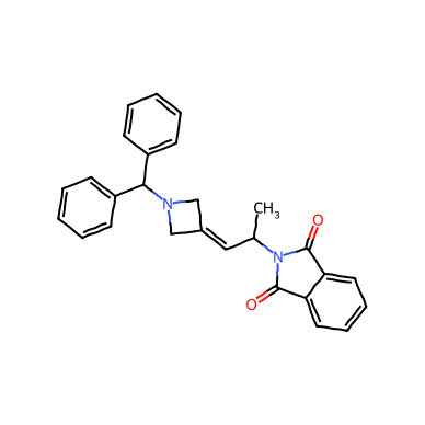 CC(C=C1CN(C(c2ccccc2)c2ccccc2)C1)N1C(=O)c2ccccc2C1=O